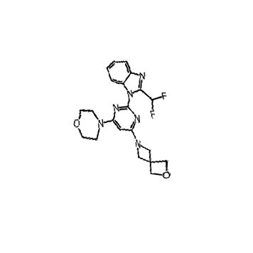 FC(F)c1nc2ccccc2n1-c1nc(N2CCOCC2)cc(N2CC3(COC3)C2)n1